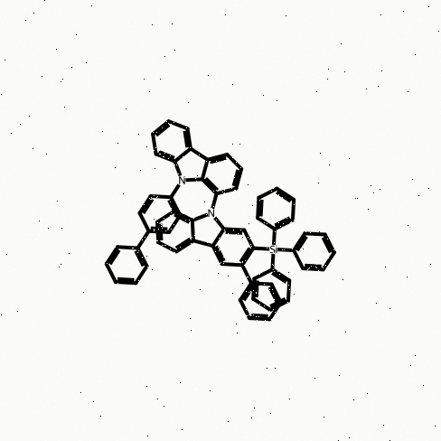 c1ccc(-c2ccc(-n3c4ccccc4c4cccc(-n5c6ccccc6c6cc(-c7ccccc7)c([Si](c7ccccc7)(c7ccccc7)c7ccccc7)cc65)c43)cc2)cc1